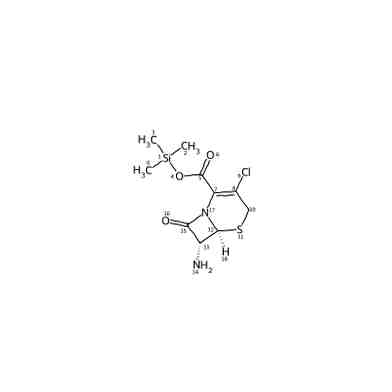 C[Si](C)(C)OC(=O)C1=C(Cl)CS[C@H]2[C@H](N)C(=O)N12